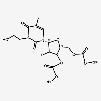 Cc1cn([C@@H]2O[C@H](COC(=O)OC(C)(C)C)C(OC(=O)OC(C)(C)C)C2F)c(=O)n(CCO)c1=O